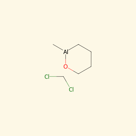 ClCCl.[CH3][Al]1[CH2]CCC[O]1